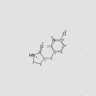 O=C1NCCC1Cc1ccc(Cl)nc1